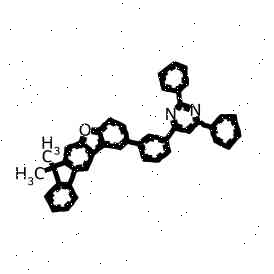 CC1(C)c2ccccc2-c2cc3c(cc21)oc1ccc(-c2cccc(-c4cc(-c5ccccc5)nc(-c5ccccc5)n4)c2)cc13